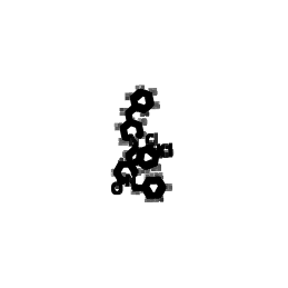 Cl.O=C1CCC(CCN2CCC(Cc3ccccc3)CC2)(c2ccc(Cl)c(Cl)c2)CN1Cc1ccccc1